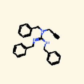 C#CCN(Cc1ccccc1)C(=NCc1ccccc1)NCc1ccccc1